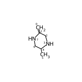 C=C1CNC(C)CN1